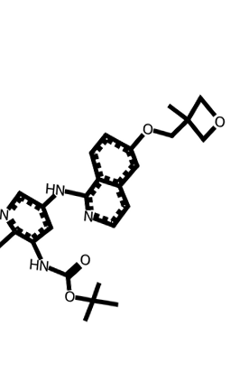 CC1(COc2ccc3c(Nc4cnc(Cl)c(NC(=O)OC(C)(C)C)c4)nccc3c2)COC1